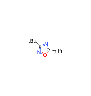 CCCc1nc(C(C)(C)C)no1